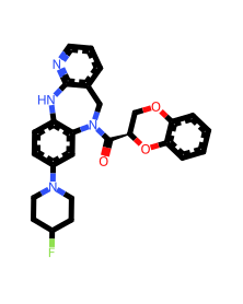 O=C([C@H]1COc2ccccc2O1)N1Cc2cccnc2Nc2ccc(N3CCC(F)CC3)cc21